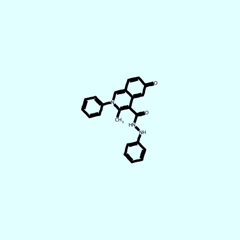 Cc1c(C(=O)NNc2ccccc2)c2cc(=O)ccc-2cn1-c1ccccc1